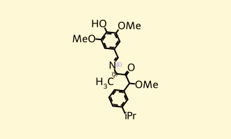 COc1cc(/C=N/[C@@H](C)C(=O)C(OC)c2cccc(C(C)C)c2)cc(OC)c1O